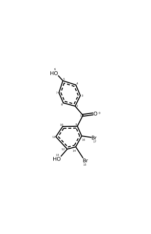 O=C(c1ccc(O)cc1)c1ccc(O)c(Br)c1Br